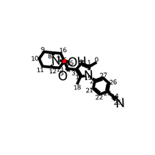 Cc1cc(C(=O)CN2C3CCCC2CC(O)C3)c(C)n1-c1ccc(C#N)cc1